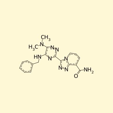 CN(C)c1nnc(-c2nnc3c(C(N)=O)cccn23)nc1NCc1ccccc1